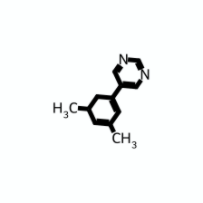 CC1=CC(C)CC(c2cncnc2)=C1